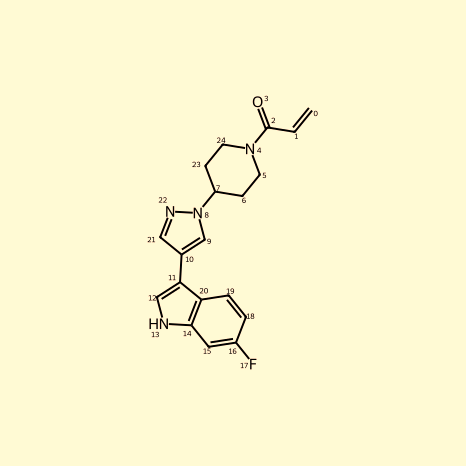 C=CC(=O)N1CCC(n2cc(-c3c[nH]c4cc(F)ccc34)cn2)CC1